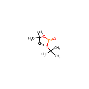 CC(C)(O[PH](=O)OC(C)(C)C(Cl)(Cl)Cl)C(Cl)(Cl)Cl